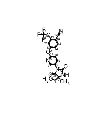 CC[C@@]1(C)NC(=O)N(c2ccc(Oc3ccc(C#N)c(OC(F)(F)F)c3)nc2)C1=O